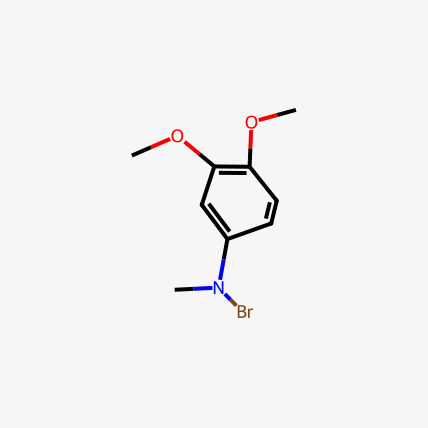 COc1ccc(N(C)Br)cc1OC